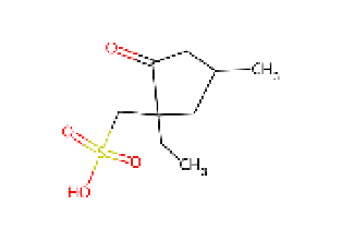 CCC1(CS(=O)(=O)O)CC(C)CC1=O